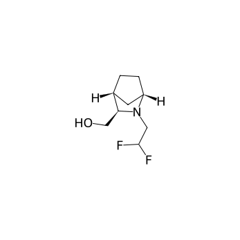 OC[C@H]1[C@@H]2CC[C@@H](C2)N1CC(F)F